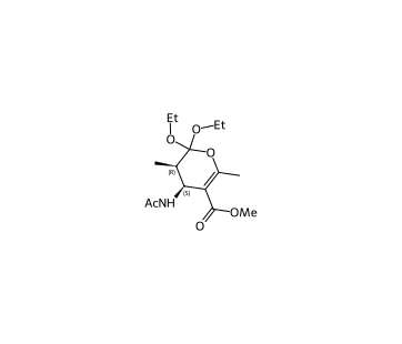 CCOC1(OCC)OC(C)=C(C(=O)OC)[C@@H](NC(C)=O)[C@H]1C